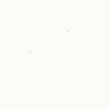 CC(C)(C)[Si](C)(C)OCC1C(=O)CCN1SOOc1ccccc1